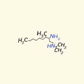 C=C(C)NCCC(N)C(C)CCCCCC